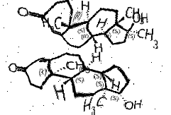 C[C@]12CCC(=O)C=C1CC[C@@H]1[C@@H]2CC[C@@]2(C)[C@H]1CC[C@]2(C)O.C[C@]12CC[C@H]3[C@@H](CCC4=CC(=O)CC[C@@]43C)[C@@H]1CC[C@@H]2O